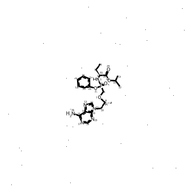 CC[C@H](NP(=O)(CO[C@H](C)Cn1cnc2c(N)ncnc21)Oc1ccccc1)C(=O)OC(C)C